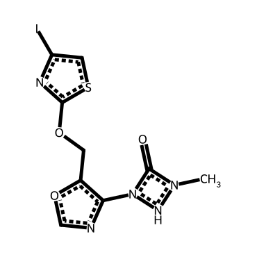 Cn1[nH]n(-c2ncoc2COc2nc(I)cs2)c1=O